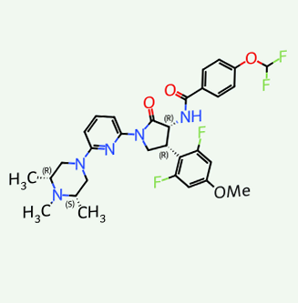 COc1cc(F)c([C@@H]2CN(c3cccc(N4C[C@@H](C)N(C)[C@@H](C)C4)n3)C(=O)[C@@H]2NC(=O)c2ccc(OC(F)F)cc2)c(F)c1